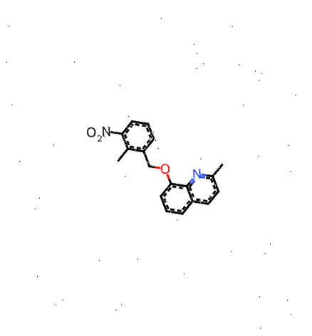 Cc1ccc2cccc(OCc3cccc([N+](=O)[O-])c3C)c2n1